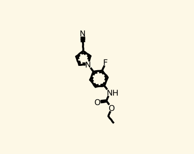 CCOC(=O)Nc1ccc(-n2ccc(C#N)c2)c(F)c1